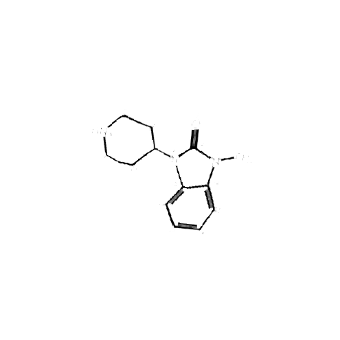 Cn1c(=O)n(C2CCNCC2)c2ccccc21